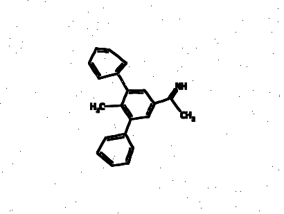 CC(=N)c1cc(-c2ccccc2)c(C)c(-c2ccccc2)c1